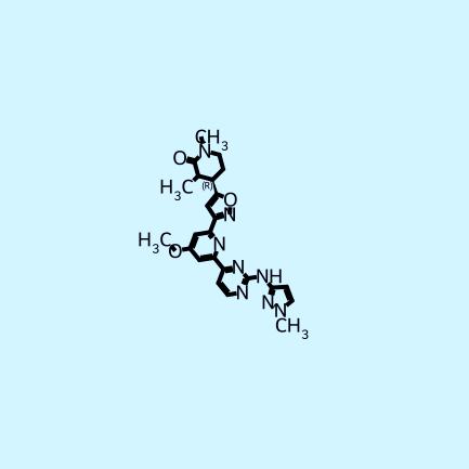 COc1cc(-c2cc([C@@H]3CCN(C)C(=O)C3C)on2)nc(-c2ccnc(Nc3ccn(C)n3)n2)c1